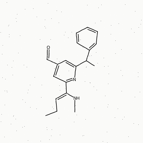 CC/C=C(\NC)c1cc(C=O)cc(C(C)c2ccccc2)n1